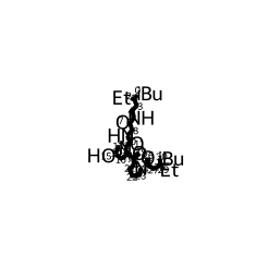 CCC(C)C(CC)CCNC(=O)CNC(=O)N1CC(O)CC1C(=O)C1CCCN1C(=O)CC(CC)C(C)CC